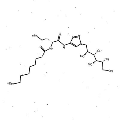 [CH2][CH]CSC[C@@H](NC(=O)CCCCCCCCCCCCCCCCC)C(=O)Nc1cn(C[C@H](O)[C@H](O)[C@H](O)[C@H](O)CO)nn1